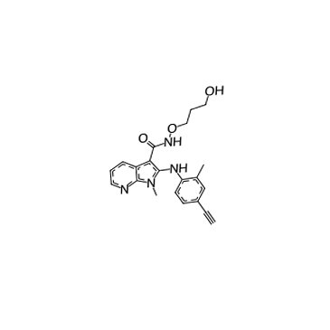 C#Cc1ccc(Nc2c(C(=O)NOCCCO)c3cccnc3n2C)c(C)c1